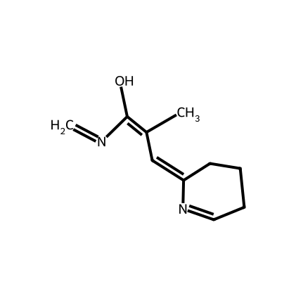 C=N/C(O)=C(C)\C=C1/CCCC=N1